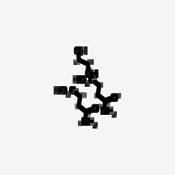 NC(=O)CCC(=O)O.NC(=O)CCC(=O)O.OCCO